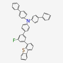 Fc1cc(-c2ccc(N(c3ccc(-c4ccccc4)cc3)c3ccc(-c4ccccc4)cc3)cc2)cc(-c2cccc3c2sc2ccccc23)c1